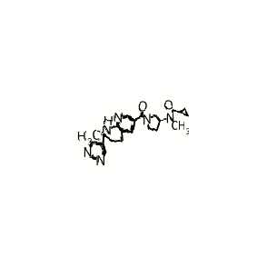 CN(C(=O)C1CC1)[C@H]1CCN(C(=O)c2cnc3c(c2)CC[C@@](C)(c2cncnc2)N3)C1